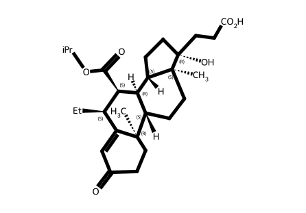 CC[C@@H]1C2=CC(=O)CC[C@]2(C)[C@H]2CC[C@@]3(C)[C@@H](CC[C@@]3(O)CCC(=O)O)[C@@H]2[C@@H]1C(=O)OC(C)C